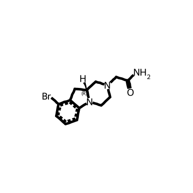 NC(=O)CN1CCN2c3cccc(Br)c3C[C@@H]2C1